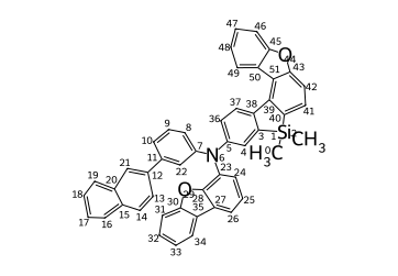 C[Si]1(C)c2cc(N(c3cccc(-c4ccc5ccccc5c4)c3)c3cccc4c3oc3ccccc34)ccc2-c2c1ccc1oc3ccccc3c21